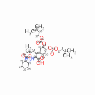 CC(C)CCOC(=O)Oc1ccc(C(CC(C)OC(=O)C2CCCCC2)[C@H](N)C(=O)O)cc1OC(=O)OCCC(C)C